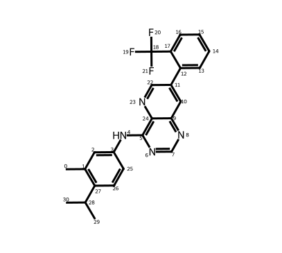 Cc1cc(Nc2ncnc3cc(-c4ccccc4C(F)(F)F)cnc23)ccc1C(C)C